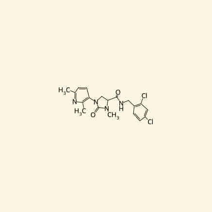 Cc1ccc(N2CC(C(=O)NCc3ccc(Cl)cc3Cl)N(C)C2=O)c(C)n1